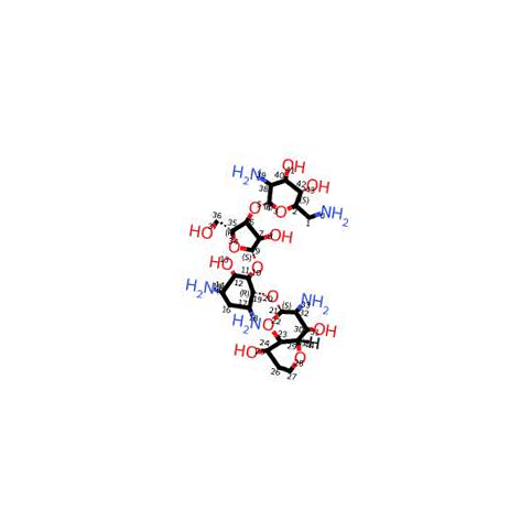 NCC1O[C@H](OC2C(O)[C@H](OC3C(O)[C@H](N)CC(N)[C@H]3O[C@H]3OC4C(O)CCO[C@H]4C(O)C3N)O[C@@H]2CO)C(N)C(O)[C@@H]1O